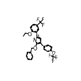 CCOc1ccc(C(F)(F)F)cc1-n1cc(-c2ccc(OC(F)(F)F)cc2)c(OCc2ccccc2)n1